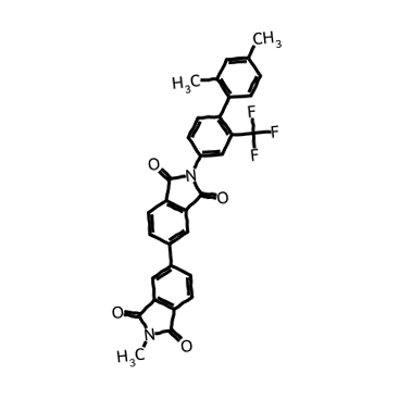 Cc1ccc(-c2ccc(N3C(=O)c4ccc(-c5ccc6c(c5)C(=O)N(C)C6=O)cc4C3=O)cc2C(F)(F)F)c(C)c1